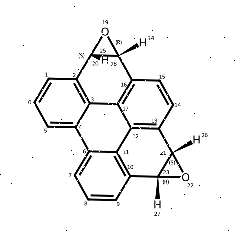 c1cc2c3c(c1)c1cccc4c1c1c(ccc(c31)[C@H]1O[C@@H]21)[C@@H]1O[C@H]41